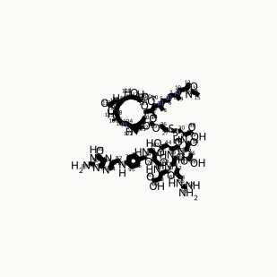 CO[C@@H](/C(C)=C/C=C/C(C)=C/c1coc(C)n1)[C@@H](C)[C@@H]1C[C@H](OC(=O)OCCSSC[C@H](NC(=O)[C@H](CC(=O)O)NC(=O)[C@H](CC(=O)O)NC(=O)[C@H](CCCNC(=N)N)NC(=O)C(CC(=O)O)NC(=O)CC[C@@H](C)NC(=O)c2ccc(NCc3cnc4nc(N)[nH]c(=O)c4n3)cc2)C(=O)O)C2(C)C[C@@H]2/C=C/[C@@H](C)[C@H]2C[C@H](CC(=O)O2)C[C@@H]2O[C@H]2C(=O)O1